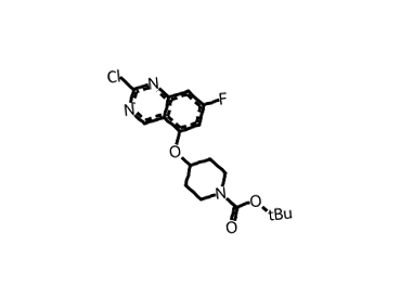 CC(C)(C)OC(=O)N1CCC(Oc2cc(F)cc3nc(Cl)ncc23)CC1